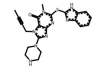 CC#CCn1c(N2CCNCC2)nc2nc(Sc3nc4ccccc4[nH]3)n(C)c(=O)c21